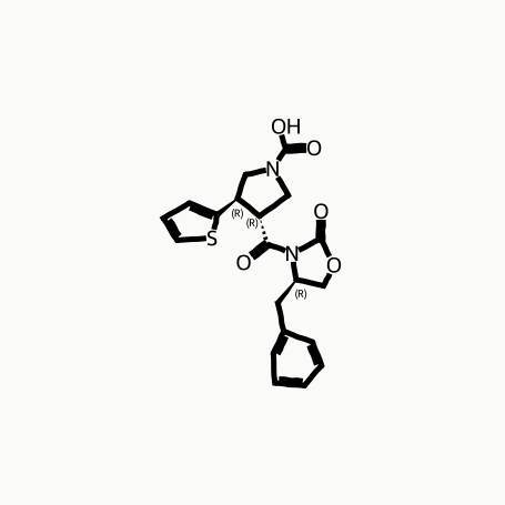 O=C(O)N1C[C@H](C(=O)N2C(=O)OC[C@H]2Cc2ccccc2)[C@@H](c2cccs2)C1